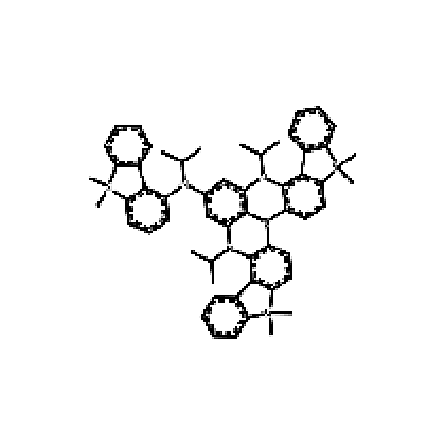 CC(C)N(c1cc2c3c(c1)N(C(C)C)c1c(ccc4c1-c1ccccc1[Si]4(C)C)B3c1ccc3c(c1N2C(C)C)-c1ccccc1[Si]3(C)C)c1cccc2c1-c1ccccc1[Si]2(C)C